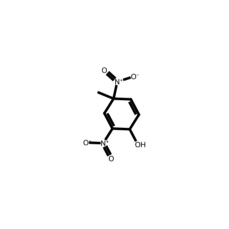 CC1([N+](=O)[O-])C=CC(O)C([N+](=O)[O-])=C1